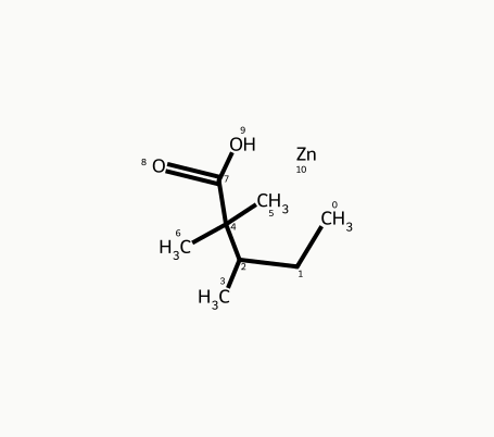 CCC(C)C(C)(C)C(=O)O.[Zn]